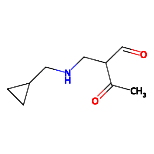 CC(=O)C(C=O)CNCC1CC1